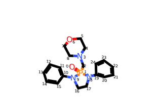 O=P1(CN2CCOCC2)N(c2ccccc2)CCN1c1ccccc1